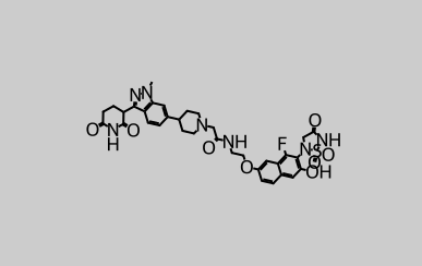 Cn1nc(C2CCC(=O)NC2=O)c2ccc(C3CCN(CC(=O)NCCOc4ccc5cc(O)c(N6CC(=O)NS6(=O)=O)c(F)c5c4)CC3)cc21